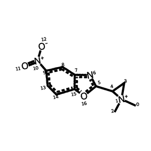 C[N+]1(C)CC1c1nc2cc([N+](=O)[O-])ccc2o1